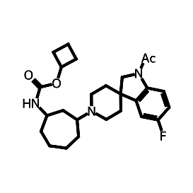 CC(=O)N1CC2(CCN(C3CCCCC(NC(=O)OC4CCC4)C3)CC2)c2cc(F)ccc21